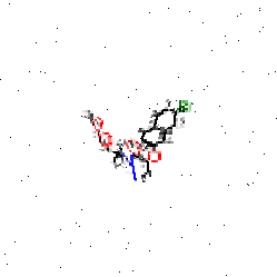 CCC(Oc1ccc2ccc(Br)cc2c1)C(=O)NC(C)(C)COCOC